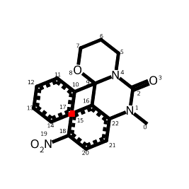 CN1C(=O)N2CCCOC2(c2ccccc2)c2cc([N+](=O)[O-])ccc21